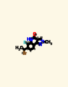 CC(Br)c1ccc2c([nH]c(=O)c3cn(C)nc32)c1F